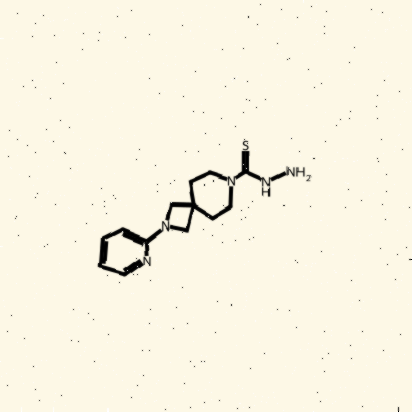 NNC(=S)N1CCC2(CC1)CN(c1ccccn1)C2